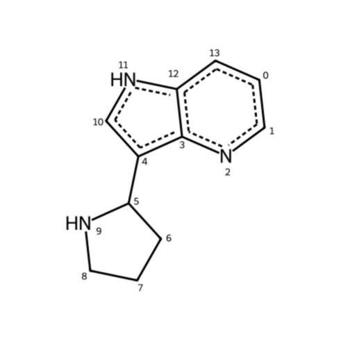 c1cnc2c(C3CCCN3)c[nH]c2c1